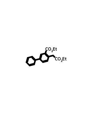 CCOC(=O)Cc1ccc(-c2ccccc2)cc1C(=O)OCC